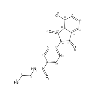 O=C(NCCS)c1ccc(N2C(=O)c3cccc(Cl)c3C2=O)nc1